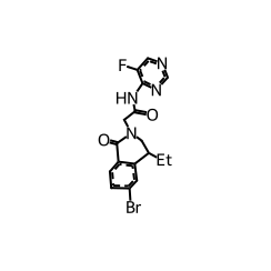 CCC1CN(CC(=O)Nc2ncncc2F)C(=O)c2ccc(Br)cc21